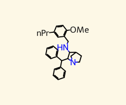 CCCc1ccc(OC)c(CNC2C3CCN(C3)C2C(c2ccccc2)c2ccccc2)c1